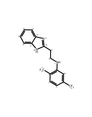 FC(F)(F)c1ccc(C(F)(F)F)c(NCCc2nc3ccccc3[nH]2)c1